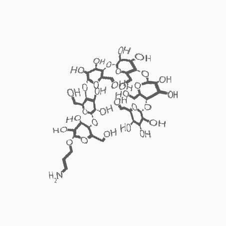 NCCCO[C@H]1OC(CO)[C@@H](O[C@@H]2OC(CO)[C@@H](O[C@H]3OC(CO)[C@H](O[C@H]4OC(CO)[C@@H](O[C@@H]5OC(CO)[C@@H](O[C@H]6OC(CO)[C@H](O)[C@H](O)C6O)C(O)[C@@H]5O)[C@H](O)C4O)[C@H](O)C3O)C(O)[C@@H]2O)[C@H](O)C1O